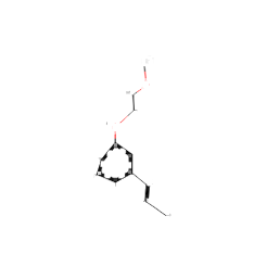 CC=Cc1cccc(OCCOCCC)c1